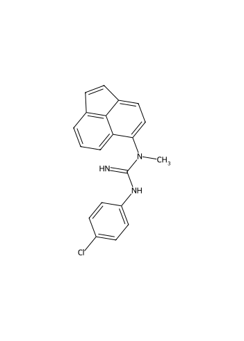 CN(C(=N)Nc1ccc(Cl)cc1)c1ccc2c3c(cccc13)C=C2